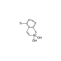 O[N+]1(O)C=Cc2[c]([Ti])cccc2S1